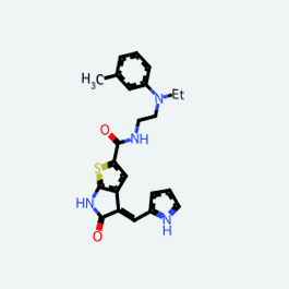 CCN(CCNC(=O)c1cc2c(s1)NC(=O)/C2=C/c1ccc[nH]1)c1cccc(C)c1